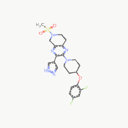 CS(=O)(=O)N1CCc2nc(N3CCC(Oc4ccc(F)cc4F)CC3)c(-c3cn[nH]c3)nc2C1